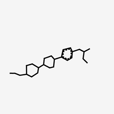 CCCC1CCC(C2CCC(c3ccc(CC(C)CC)cc3)CC2)CC1